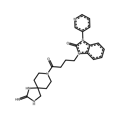 N=C1NCC2(CCN(C(=O)CCCn3c(=O)n(-c4cccnc4)c4ccccc43)CC2)N1